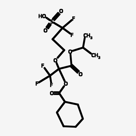 CC(C)OC(=O)C(OCCC(F)(F)S(=O)(=O)O)(OC(=O)C1CCCCC1)C(F)(F)F